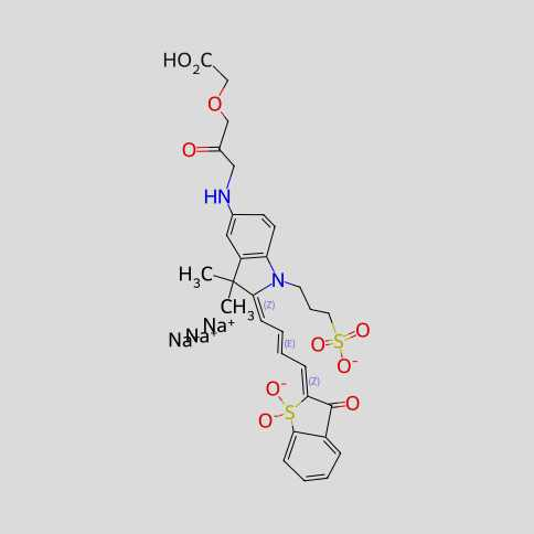 CC1(C)/C(=C/C=C/C=C2/C(=O)c3ccccc3S2([O-])[O-])N(CCCS(=O)(=O)[O-])c2ccc(NCC(=O)COCC(=O)O)cc21.[Na+].[Na+].[Na+]